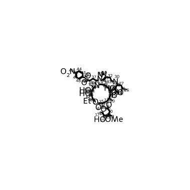 CC[C@H]1OC(=O)[C@H](C)[C@@H](O[C@H]2C[C@@](C)(OC)[C@@H](O)[C@H](C)O2)[C@H](C)[C@@H](O[C@@H]2O[C@H](C)C[C@H](N(C)CCc3cn(CCCS(=O)(=O)c4ccc([N+](=O)[O-])cc4)nn3)[C@H]2O)[C@](C)(O)C[C@@H](C)CN(C)[C@H](C)[C@@H](O)[C@]1(C)O